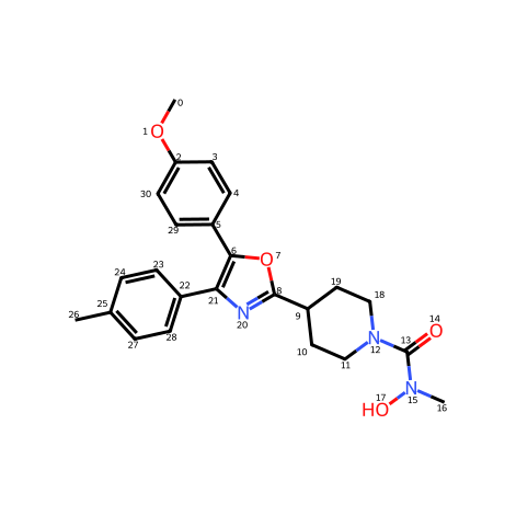 COc1ccc(-c2oc(C3CCN(C(=O)N(C)O)CC3)nc2-c2ccc(C)cc2)cc1